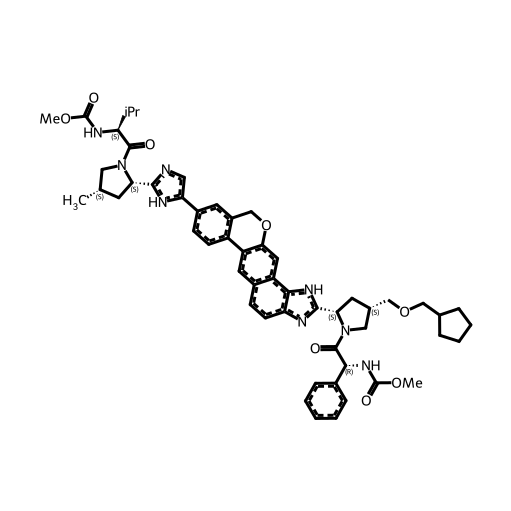 COC(=O)N[C@H](C(=O)N1C[C@@H](C)C[C@H]1c1ncc(-c2ccc3c(c2)COc2cc4c(ccc5nc([C@@H]6C[C@H](COCC7CCCC7)CN6C(=O)[C@H](NC(=O)OC)c6ccccc6)[nH]c54)cc2-3)[nH]1)C(C)C